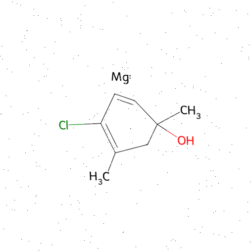 CC1=C(Cl)C=CC(C)(O)C1.[Mg]